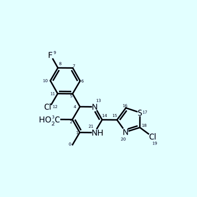 CC1=C(C(=O)O)C(c2ccc(F)cc2Cl)N=C(c2csc(Cl)n2)N1